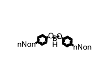 CCCCCCCCCc1ccc(OBOc2ccc(CCCCCCCCC)cc2)cc1